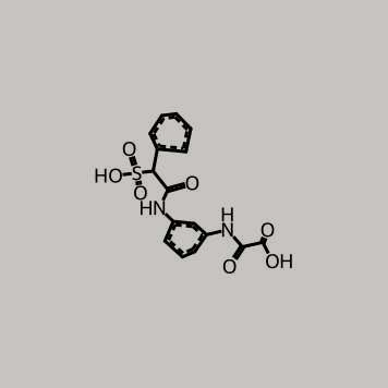 O=C(O)C(=O)Nc1cccc(NC(=O)C(c2ccccc2)S(=O)(=O)O)c1